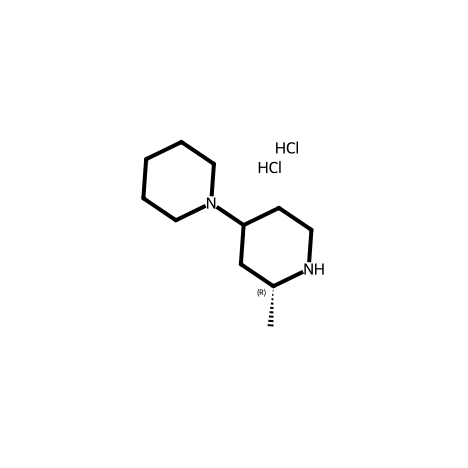 C[C@@H]1CC(N2CCCCC2)CCN1.Cl.Cl